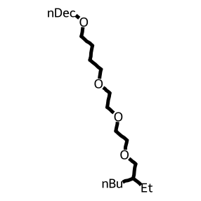 CCCCCCCCCCOCCCCOCCOCCOCC(CC)CCCC